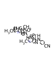 CCCNc1nc(Nc2ccc(C#N)cc2)ncc1/C=C(/C)CCCNC(=O)[C@H](C)N(C)C(=O)/C=C/CN(C)C